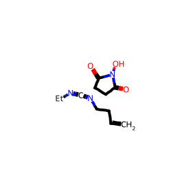 C=CCCN=C=NCC.O=C1CCC(=O)N1O